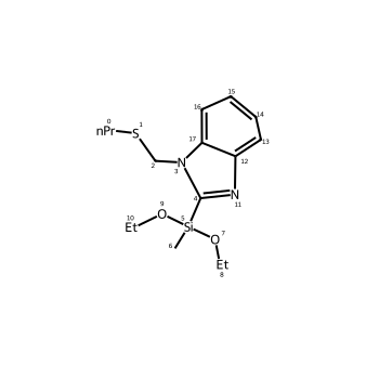 CCCSCn1c([Si](C)(OCC)OCC)nc2ccccc21